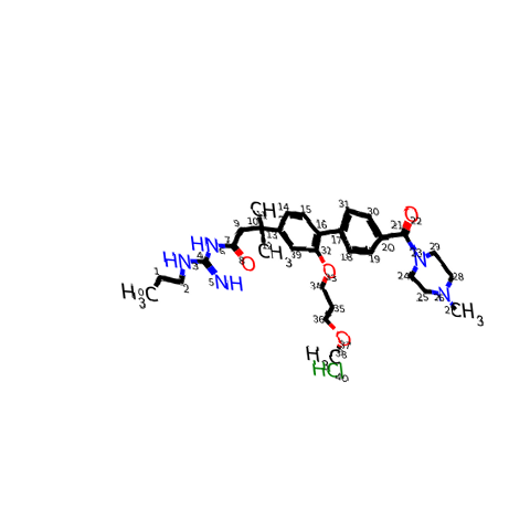 CCCNC(=N)NC(=O)CC(C)(C)c1ccc(-c2ccc(C(=O)N3CCN(C)CC3)cc2)c(OCCCOC)c1.Cl